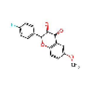 COc1ccc2c(c1)C(=O)C(=O)C(c1ccc(F)cc1)O2